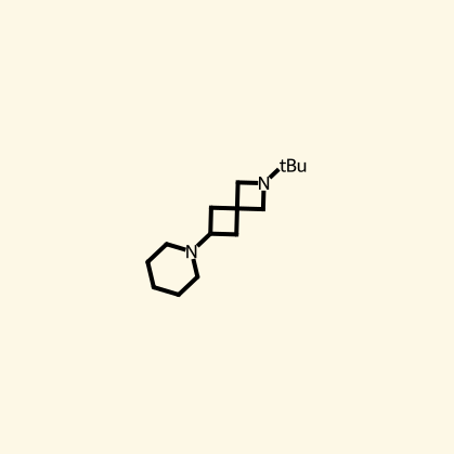 CC(C)(C)N1CC2(CC(N3CCCCC3)C2)C1